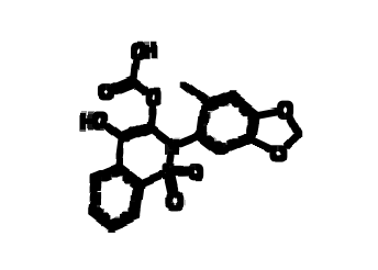 Cc1cc2c(cc1N1C(OC(=O)O)=C(O)c3ccccc3S1(=O)=O)OCO2